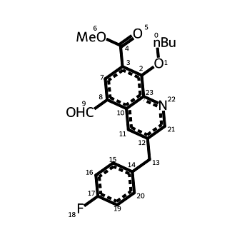 CCCCOc1c(C(=O)OC)cc(C=O)c2cc(Cc3ccc(F)cc3)cnc12